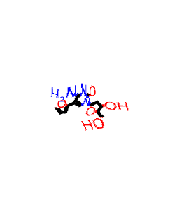 Nc1nc(=O)n(C2CC(O)C(CO)O2)cc1-c1ccco1